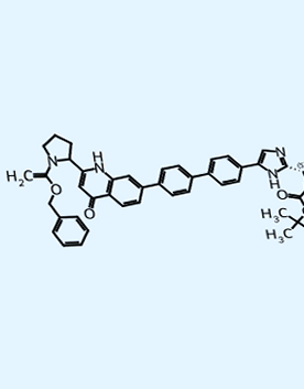 C=C(OCc1ccccc1)N1CCCC1c1cc(=O)c2ccc(-c3ccc(-c4ccc(-c5cnc([C@@H]6CCCN6C(=O)OC(C)(C)C)[nH]5)cc4)cc3)cc2[nH]1